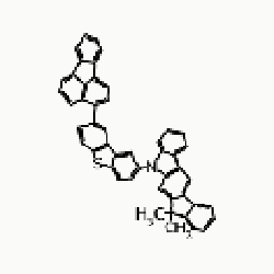 CC1(C)c2ccccc2-c2cc3c4ccccc4n(-c4ccc5sc6ccc(-c7ccc8c9c(cccc79)-c7ccccc7-8)cc6c5c4)c3cc21